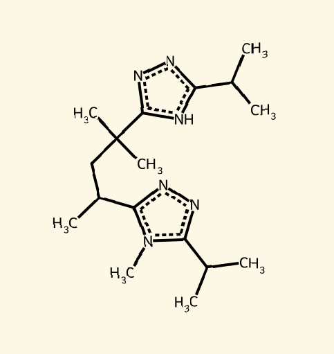 CC(C)c1nnc(C(C)(C)CC(C)c2nnc(C(C)C)n2C)[nH]1